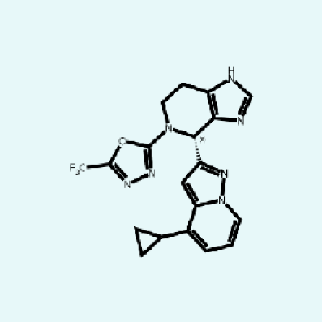 FC(F)(F)c1nnc(N2CCc3[nH]cnc3[C@@H]2c2cc3c(C4CC4)cccn3n2)o1